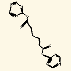 O=C(CCCCC(=O)Oc1ncncn1)Oc1ncncn1